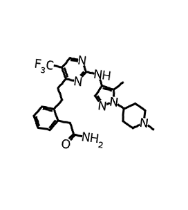 Cc1c(Nc2ncc(C(F)(F)F)c(CCc3ccccc3CC(N)=O)n2)cnn1C1CCN(C)CC1